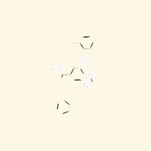 Cc1cccc(C)c1CNc1cc(C(=O)N(C)C)cc2c1nc(C)n2COCc1ccccc1